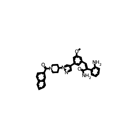 COc1cc(C=C(C(N)=O)c2ccccc2N)cc(-c2cnn(C3CCN(C(=O)c4ccc5ccccc5c4)CC3)c2)c1